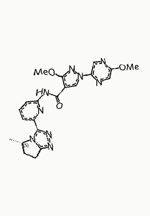 COc1cnc(-n2cc(C(=O)Nc3cccc(-c4nnc5n4[C@@H](C)CC5)n3)c(OC)n2)cn1